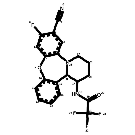 N#Cc1cc2c(cc1F)Oc1ccccc1C1C(NC(=O)C(F)(F)F)CCCN21